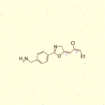 CC/C=C(Cl)\C=C1/CN=C(c2ccc(CN)cc2)O1